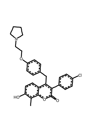 Cc1c(O)ccc2c(Cc3ccc(OCCN4CCCC4)cc3)c(-c3ccc(Cl)cc3)c(=O)oc12